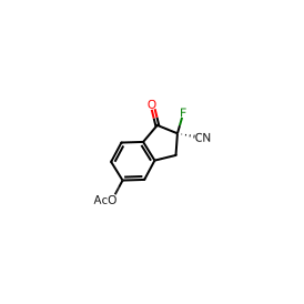 CC(=O)Oc1ccc2c(c1)C[C@@](F)(C#N)C2=O